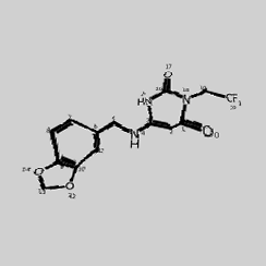 O=c1cc(NCc2ccc3c(c2)OCO3)[nH]c(=O)n1CC(F)(F)F